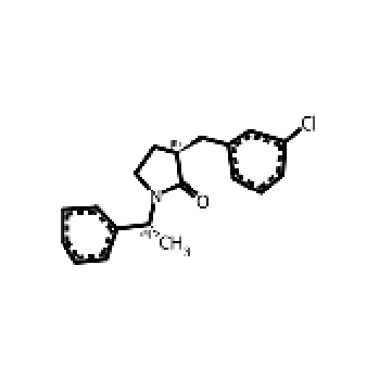 C[C@H](c1ccccc1)N1CC[C@@H](Cc2cccc(Cl)c2)C1=O